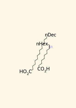 CCCCCC/C=C\CCCCCCCC(=O)O.CCCCCCCCCCCCCCCCCCCCCCCC(=O)O